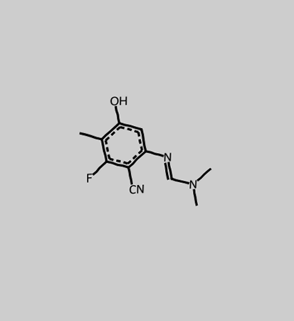 Cc1c(O)cc(/N=C/N(C)C)c(C#N)c1F